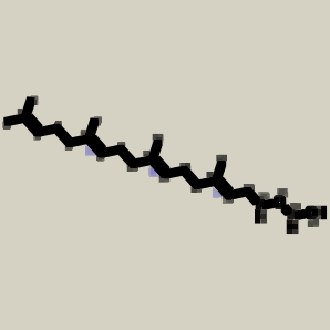 CC(C)=CCC/C(C)=C/CC/C(C)=C/CC/C(C)=C/CPOPO